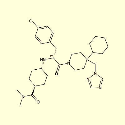 CN(C)C(=O)[C@H]1CC[C@H](N[C@H](Cc2ccc(Cl)cc2)C(=O)N2CCC(Cn3cncn3)(C3CCCCC3)CC2)CC1